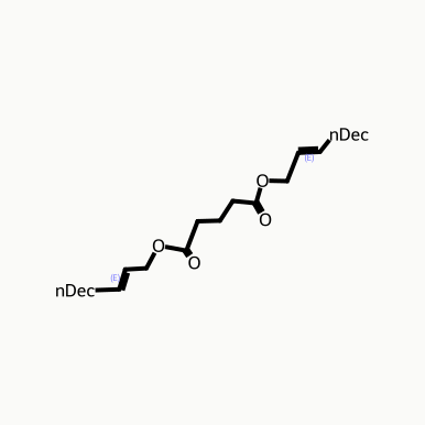 CCCCCCCCCC/C=C/COC(=O)CCCC(=O)OC/C=C/CCCCCCCCCC